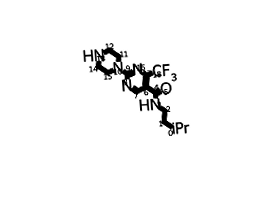 CC(C)CCNC(=O)c1cnc(N2CCNCC2)nc1C(F)(F)F